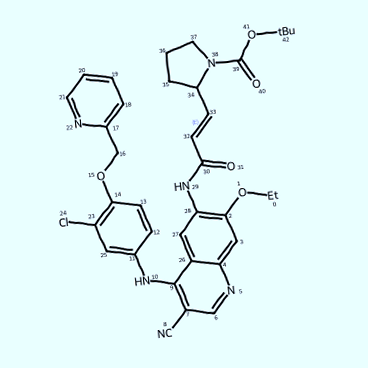 CCOc1cc2ncc(C#N)c(Nc3ccc(OCc4ccccn4)c(Cl)c3)c2cc1NC(=O)/C=C/C1CCCN1C(=O)OC(C)(C)C